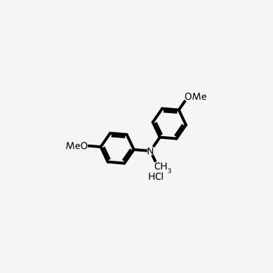 COc1ccc(N(C)c2ccc(OC)cc2)cc1.Cl